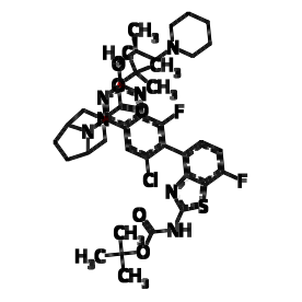 C[C@@H](CN1CCCCC1)Oc1nc(N2C3CCC2CN(C(=O)OC(C)(C)C)C3)c2cc(Cl)c(-c3ccc(F)c4sc(NC(=O)OC(C)(C)C)nc34)c(F)c2n1